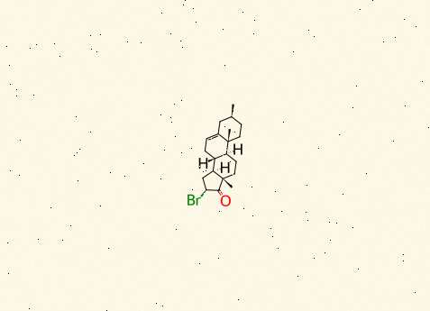 C[C@H]1CC[C@@]2(C)C(=CC[C@@H]3[C@@H]2CC[C@]2(C)C(=O)[C@@H](Br)C[C@@H]32)C1